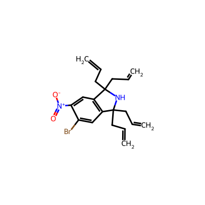 C=CCC1(CC=C)NC(CC=C)(CC=C)c2cc([N+](=O)[O-])c(Br)cc21